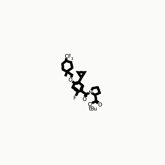 CC1(COc2cc(F)c(C(=O)N3CCCC3C(=O)OC(C)(C)C)cc2C2CC2)CCC(C(F)(F)F)CC1